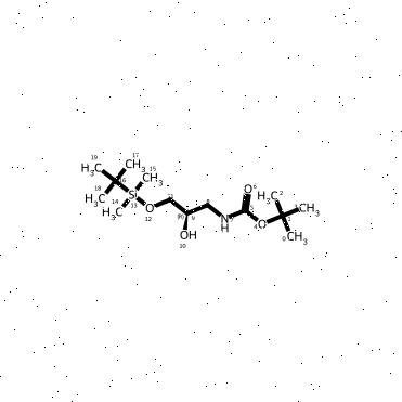 CC(C)(C)OC(=O)NC[C@@H](O)CO[Si](C)(C)C(C)(C)C